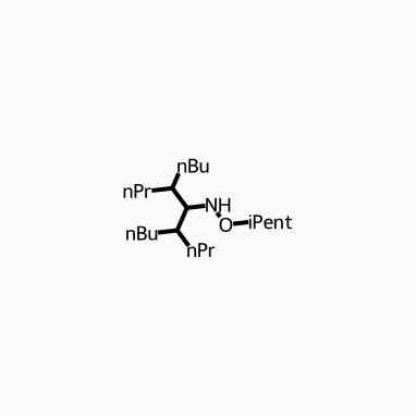 CCCCC(CCC)C(NOC(C)CCC)C(CCC)CCCC